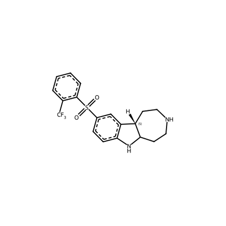 O=S(=O)(c1ccc2c(c1)[C@@H]1CCNCCC1N2)c1ccccc1C(F)(F)F